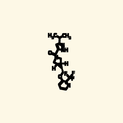 CC(C)c1cc(C(=O)N2C[C@@H]3[C@H](COc4cccnc4C(F)(F)F)[C@@H]3C2)[nH]n1